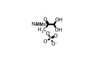 CC(=O)C(O)O.O=P([O-])([O-])[O-].[Na+].[Na+].[Na+]